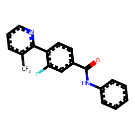 O=C(Nc1ccccc1)c1ccc(-c2ncccc2C(F)(F)F)c(F)c1